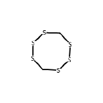 C1SSSCSSS1